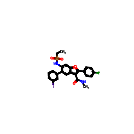 CCS(=O)(=O)Nc1cc2oc(-c3ccc(F)cc3)c(C(=O)NC)c2cc1-c1cccc(I)c1